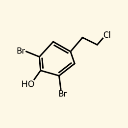 Oc1c(Br)cc(CCCl)cc1Br